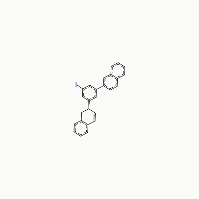 Ic1cc(-c2ccc3ccccc3c2)cc([C@H]2C=Cc3ccccc3C2)c1